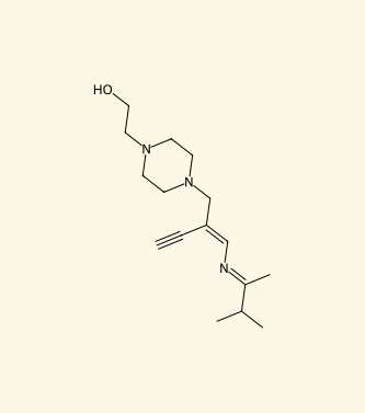 C#C/C(=C\N=C(/C)C(C)C)CN1CCN(CCO)CC1